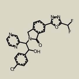 O=C1c2cc(-c3nnc(C(F)F)o3)ccc2CN1C(c1cnccn1)C(O)c1ccc(Cl)cc1